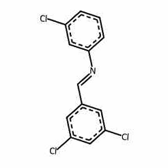 Clc1cc(Cl)cc(C=Nc2cccc(Cl)c2)c1